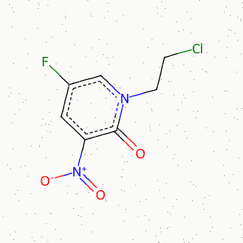 O=c1c([N+](=O)[O-])cc(F)cn1CCCl